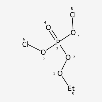 CCOOP(=O)(OCl)OCl